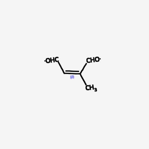 C/C([C]=O)=C/[C]=O